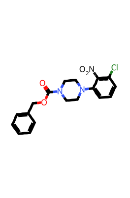 O=C(OCc1ccccc1)N1CCN(c2cccc(Cl)c2[N+](=O)[O-])CC1